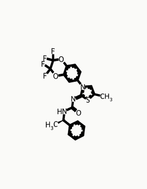 Cc1cn(-c2ccc3c(c2)OC(F)(F)C(F)(F)O3)c(=NC(=O)N[C@H](C)c2ccccc2)s1